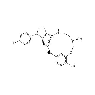 N#Cc1ccc2cc1OCC(O)CCNc1nc(nc3c1CCC3c1ccc(F)cc1)N2